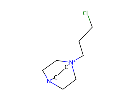 ClCCC[N+]12CCN(CC1)CC2